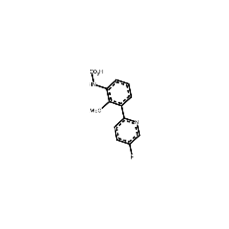 COc1c(NC(=O)O)cccc1-c1ccc(F)cn1